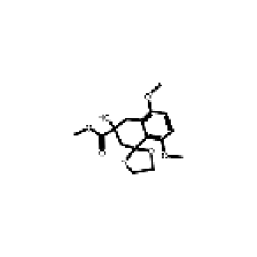 COC(=O)C1(O)Cc2c(OC)ccc(OC)c2C2(C1)OCCO2